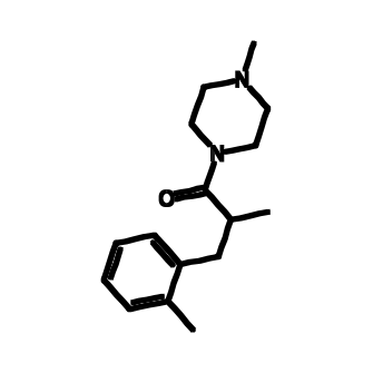 Cc1ccccc1CC(C)C(=O)N1CCN(C)CC1